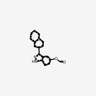 O=COc1ccc2[nH]nc(-c3ccc4ccccc4c3)c2c1